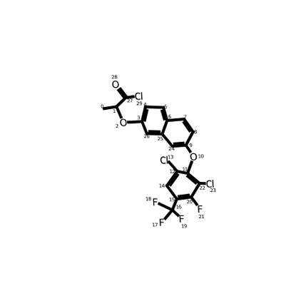 CC(Oc1ccc2ccc(Oc3c(Cl)cc(C(F)(F)F)c(F)c3Cl)cc2c1)C(=O)Cl